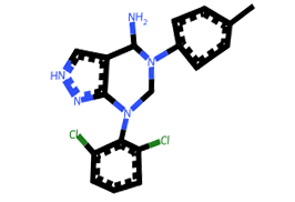 Cc1ccc(N2CN(c3c(Cl)cccc3Cl)c3n[nH]cc3C2N)cc1